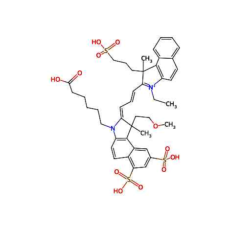 CC[N+]1=C(/C=C/C=C2/N(CCCCCC(=O)O)c3ccc4c(S(=O)(=O)O)cc(S(=O)(=O)O)cc4c3C2(C)CCOC)C(C)(CCCS(=O)(=O)O)c2c1ccc1ccccc21